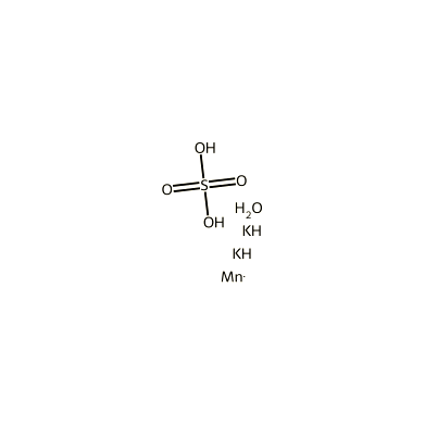 O.O=S(=O)(O)O.[KH].[KH].[Mn]